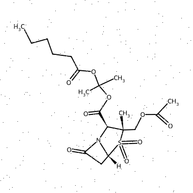 CCCCCC(=O)OC(C)(C)OC(=O)[C@@H]1N2C(=O)C[C@H]2S(=O)(=O)[C@@]1(C)COC(C)=O